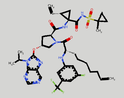 C=CCCCCC[C@H](Nc1cc(F)cc(C(F)(F)F)c1)C(=O)N1C[C@H](Oc2nc3cncnc3n2C(C)C)C[C@H]1C(=O)N[C@]1(C(=O)NS(=O)(=O)C2(C)CC2)C[C@H]1C=C